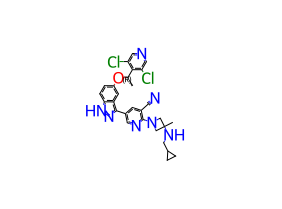 C[C@@H](Oc1ccc2[nH]nc(-c3cnc(N4CC(C)(NCC5CC5)C4)c(C#N)c3)c2c1)c1c(Cl)cncc1Cl